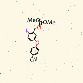 COB(OC)OCc1cc(Oc2ccc(C#N)cc2)ccc1I